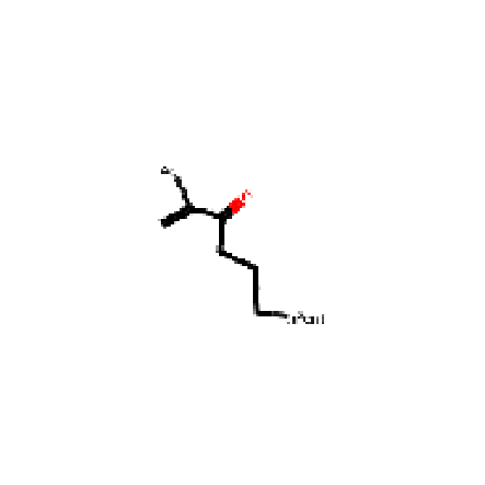 C=C(C(C)=O)C(=O)CCCCCCCC